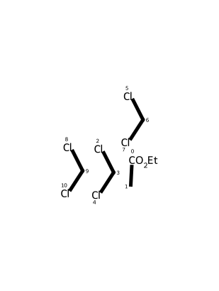 CCOC(C)=O.ClCCl.ClCCl.ClCCl